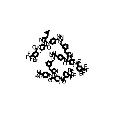 CNC(=O)c1ccc(-n2c(=O)c3c(n4ncc(Cc5cccc(Cn6cnnc6-c6ccc(-n7c(=O)c8c(n9ncc(Cc%10cccc(Cn%11cnnc%11-c%11ccc(-n%12c(=O)c%13c(n%14ncc(CC%15CC%15)c%12%14)CN(C(=O)c%12ccc(Br)c(C(F)(F)F)c%12)[C@H](C)C%13)cc%11)c%10)c79)CN(C(=O)c7ccc(Br)c(C(F)(F)F)c7)[C@H](C)C8)cc6)c5)c24)CN(C(=O)c2ccc(Br)c(C(F)(F)F)c2)[C@H](C)C3)cc1